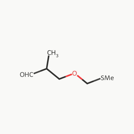 CSCOCC(C)C=O